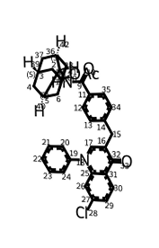 CC(=O)O[C@]12C[C@@H]3C[C@H](C1)[C@@H](NC(=O)c1ccc(Cc4cn(-c5ccccc5)c5cc(Cl)ccc5c4=O)cc1)[C@@H](C3)C2